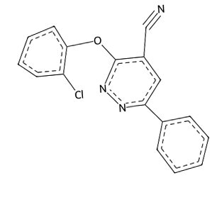 N#Cc1cc(-c2ccccc2)nnc1Oc1ccccc1Cl